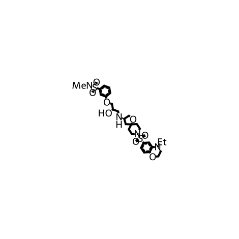 CCN1CCOc2ccc(S(=O)(=O)N3CCC4(CC3)C[C@@H](NCC(O)COc3cccc(S(=O)(=O)NC)c3)CO4)cc21